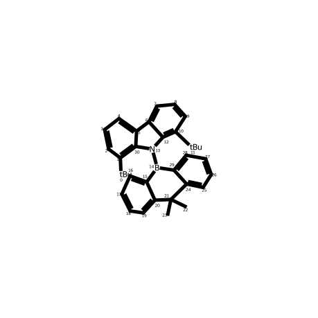 CC(C)(C)c1cccc2c3cccc(C(C)(C)C)c3n(B3c4ccccc4C(C)(C)c4ccccc43)c12